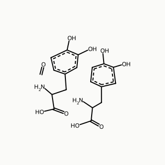 C=O.NC(Cc1ccc(O)c(O)c1)C(=O)O.NC(Cc1ccc(O)c(O)c1)C(=O)O